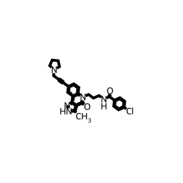 Cc1[nH]nc2c1c(=O)n(CCCNC(=O)c1ccc(Cl)cc1)c1ccc(C#CCN3CCCC3)cc21